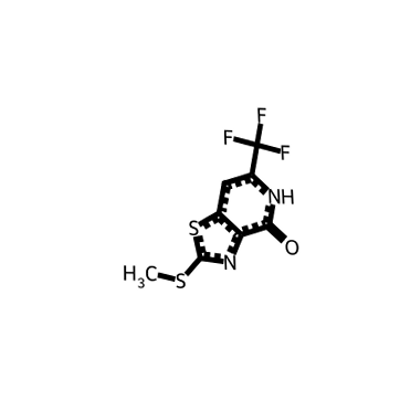 CSc1nc2c(=O)[nH]c(C(F)(F)F)cc2s1